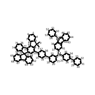 CC1(C)c2ccccc2-c2c3c(cc(-c4ccc(-c5cccc(N(c6ccc(-c7ccccc7)cc6)c6ccc7c(c6)c6ccccc6n7-c6ccccc6)c5)cc4)c21)C1(c2ccccc2-c2ccccc21)c1ccccc1-3